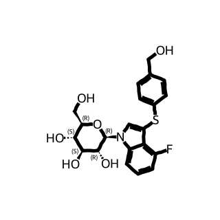 OCc1ccc(Sc2cn([C@@H]3O[C@H](CO)[C@@H](O)[C@H](O)[C@H]3O)c3cccc(F)c23)cc1